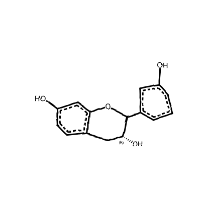 Oc1cccc(C2Oc3cc(O)ccc3C[C@H]2O)c1